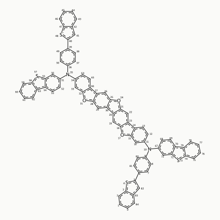 c1ccc2sc(-c3ccc(N(c4ccc5c(c4)oc4cc6c(cc45)oc4cc5c(cc46)oc4cc(N(c6ccc(-c7cc8ccccc8s7)cc6)c6ccc7c(c6)sc6ccccc67)ccc45)c4ccc5c(c4)sc4ccccc45)cc3)cc2c1